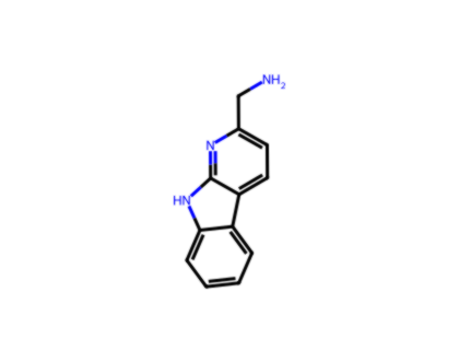 NCc1ccc2c(n1)[nH]c1ccccc12